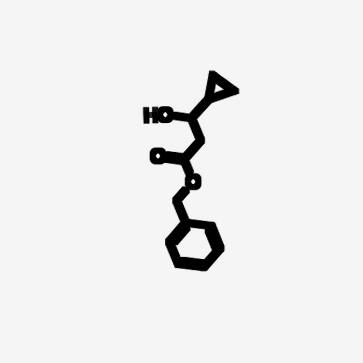 O=C(CC(O)C1CC1)OCc1ccccc1